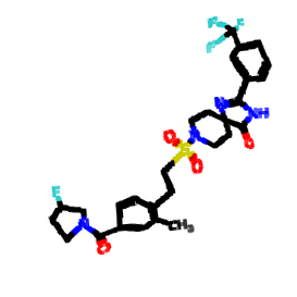 Cc1cc(C(=O)N2CCC(F)C2)ccc1CCS(=O)(=O)N1CCC2(CC1)N=C(c1cccc(C(F)(F)F)c1)NC2=O